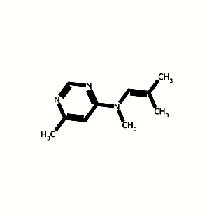 CC(C)=CN(C)c1cc(C)ncn1